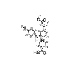 CCC(CC(=O)OC)c1ccc(N2CCN(C(=O)O)CC2)c(Nc2ccc(C#N)cc2)c1